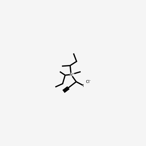 C#CC(I)[N+](C)(C(C)CC)C(C)CC.[Cl-]